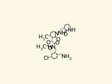 CC(=O)OC(C(=O)NCc1cc(Cl)ccc1CN)c1c(C)ccn(NCc2ccc[nH]c2=O)c1=O